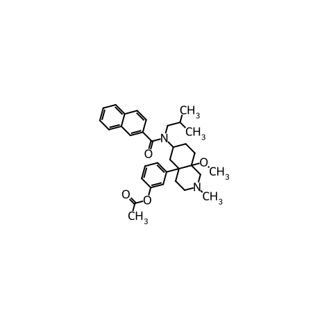 COC12CCC(N(CC(C)C)C(=O)c3ccc4ccccc4c3)CC1(c1cccc(OC(C)=O)c1)CCN(C)C2